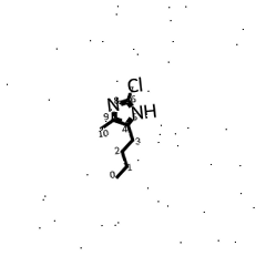 CCCCc1[nH]c(Cl)nc1C